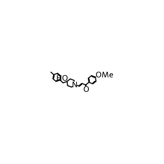 COc1ccc(C(=O)C=CN2CCC(O)(Cc3ccc(C)cc3)CC2)cc1